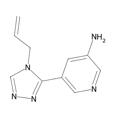 C=CCn1cnnc1-c1cncc(N)c1